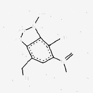 CCc1cc([N+](=O)[O-])c(C)c2c1NNN2O